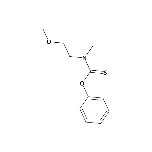 COCCN(C)C(=S)Oc1ccccc1